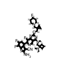 CN(CC1(N(C)C)CCC1)c1nc(OCC2(CN3CCC(F)CC3)CC2)nc2c(F)c(-c3cc(F)c(F)c4sc(N)c(C#N)c34)ncc12